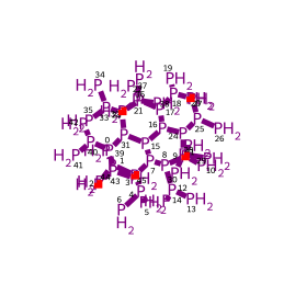 PP(P)P(P(P)P)P(P(P(P)P)P(P)P)P(P(P(P(P)P)P(P)P)P(P(P)P)P(P)P)P(P(P(P)P)P(P)P)P(P(P)P)P(P)P